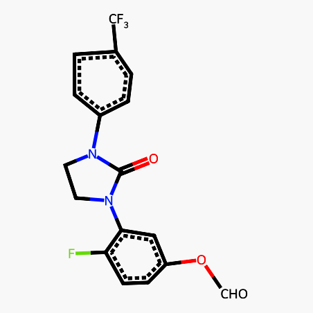 O=COc1ccc(F)c(N2CCN(c3ccc(C(F)(F)F)cc3)C2=O)c1